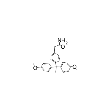 COc1ccc(C(C)(c2ccc(CC(N)=O)cc2)c2ccc(OC)cc2)cc1